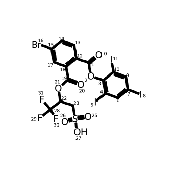 O=C(Oc1c(I)cc(I)cc1I)c1ccc(Br)cc1C(=O)OC(CS(=O)(=O)O)C(F)(F)F